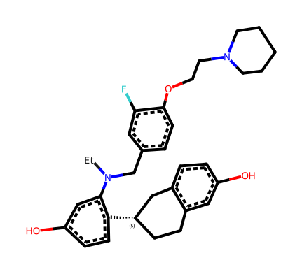 CCN(Cc1ccc(OCCN2CCCCC2)c(F)c1)c1cc(O)ccc1[C@H]1CCc2cc(O)ccc2C1